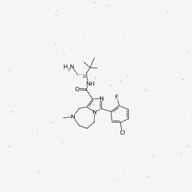 CN1CCCn2c(-c3cc(Cl)ccc3F)nc(C(=O)N[C@H](CN)C(C)(C)C)c2C1